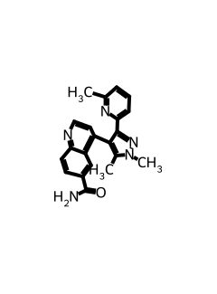 Cc1cccc(-c2nn(C)c(C)c2-c2ccnc3ccc(C(N)=O)cc23)n1